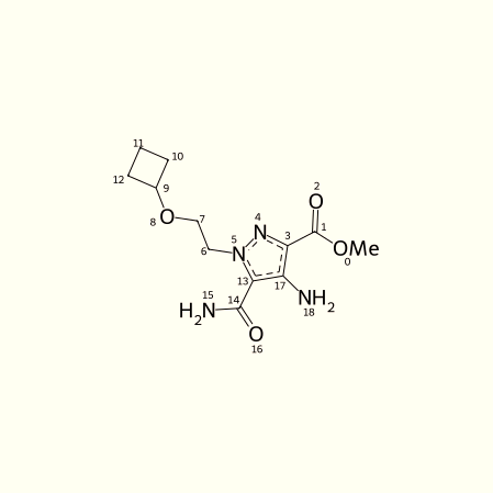 COC(=O)c1nn(CCOC2CCC2)c(C(N)=O)c1N